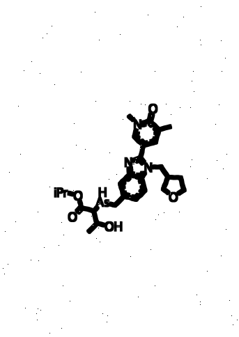 Cc1cc(-c2nc3cc(C[AsH]C(C(=O)OC(C)C)C(C)O)ccc3n2CC2CCOC2)cn(C)c1=O